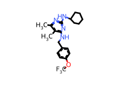 Cc1nc(NC2CCCCC2)nc(NCc2ccc(OC(F)(F)F)cc2)c1C